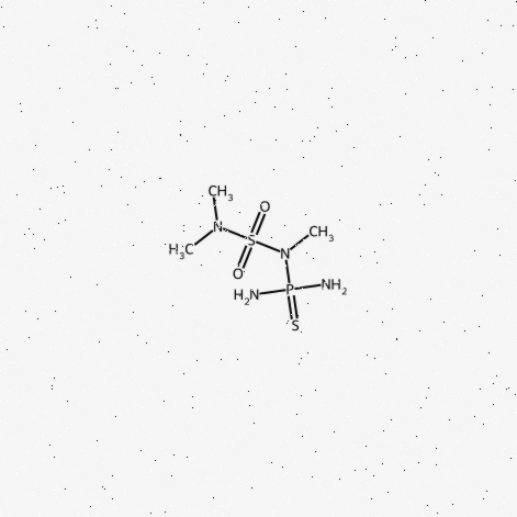 CN(C)S(=O)(=O)N(C)P(N)(N)=S